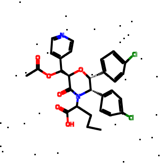 CCCC(C(=O)O)N1C(=O)[C@@H](C(OC(C)=O)c2ccncc2)O[C@H](c2ccc(Cl)cc2)[C@@H]1c1ccc(Cl)cc1